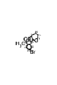 CC(O)(c1ccc(Br)cc1)C1CC2CCCCOC2C1